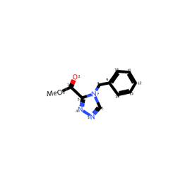 COC(=O)c1nncn1Cc1ccccc1